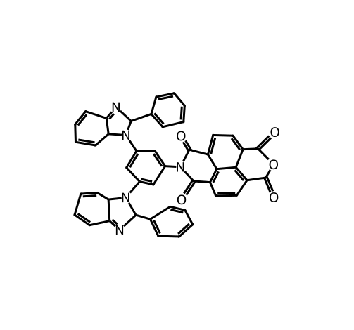 O=C1OC(=O)c2ccc3c4c(ccc1c24)C(=O)N(c1cc(N2C4C=CC=CC4=NC2c2ccccc2)cc(N2C4C=CC=CC4=NC2c2ccccc2)c1)C3=O